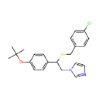 CC(C)(C)Oc1ccc(C(Cn2ccnc2)SCc2ccc(Cl)cc2)cc1